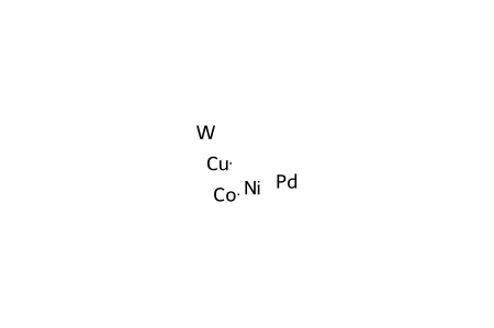 [Co].[Cu].[Ni].[Pd].[W]